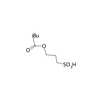 CCC(C)C(=O)OCCCS(=O)(=O)O